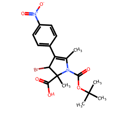 CC1=C(c2ccc([N+](=O)[O-])cc2)C(Br)C(C)(C(=O)O)N1C(=O)OC(C)(C)C